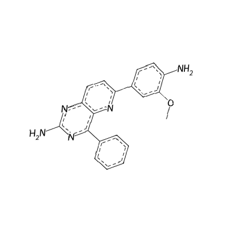 COc1cc(-c2ccc3nc(N)nc(-c4ccccc4)c3n2)ccc1N